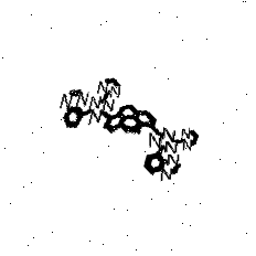 c1cnc(-c2nc(-c3ccc4ccc5c(-c6nc(-c7ncccn7)nc(-c7cccc8nccnc78)n6)ccc6ccc3c4c65)nc(-c3cccc4nccnc34)n2)nc1